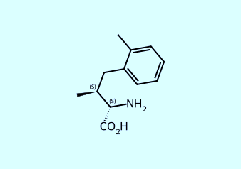 Cc1ccccc1C[C@H](C)[C@H](N)C(=O)O